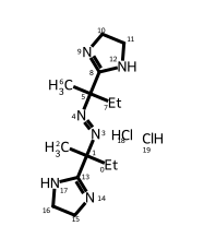 CCC(C)(/N=N/C(C)(CC)C1=NCCN1)C1=NCCN1.Cl.Cl